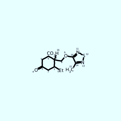 CCC1CC(=O)CCC1(COc1nsnc1C)C(=O)O